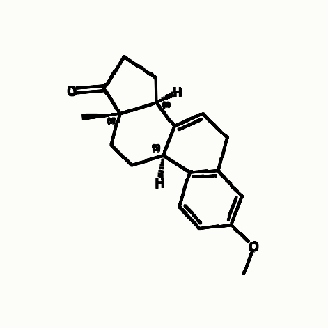 COc1ccc2c(c1)CC=C1[C@@H]2CC[C@]2(C)C(=O)CC[C@@H]12